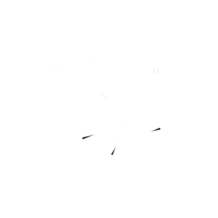 C[C@@H]1[C@H]2C[C@H]3C[C@@]1(N(CC(=O)O)CC(=O)O)C32C